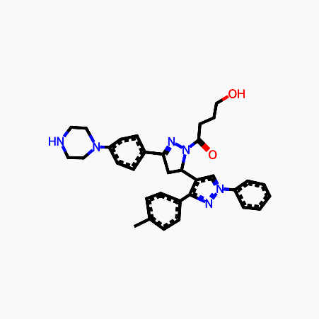 Cc1ccc(-c2nn(-c3ccccc3)cc2C2CC(c3ccc(N4CCNCC4)cc3)=NN2C(=O)CCCO)cc1